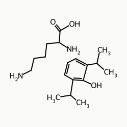 CC(C)c1cccc(C(C)C)c1O.NCCCCC(N)C(=O)O